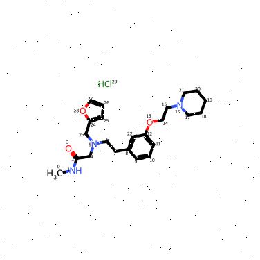 CNC(=O)CN(CCc1cccc(OCCN2CCCCC2)c1)Cc1ccco1.Cl